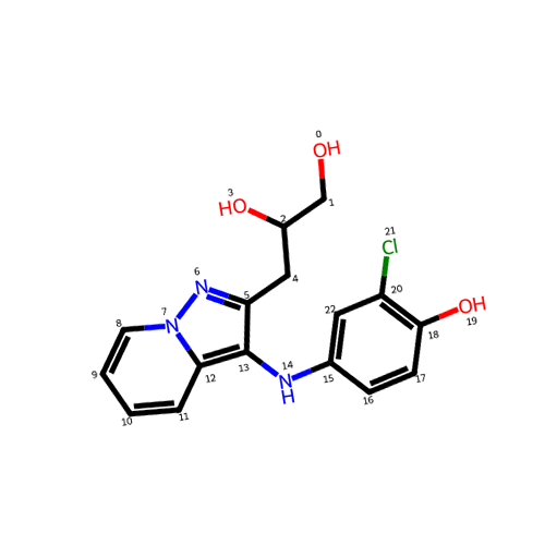 OCC(O)Cc1nn2ccccc2c1Nc1ccc(O)c(Cl)c1